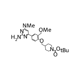 CNc1cc(-c2ccc(OCC3CCN(C(=O)OC(C)(C)C)CC3)c(COC)c2)nc(N)n1